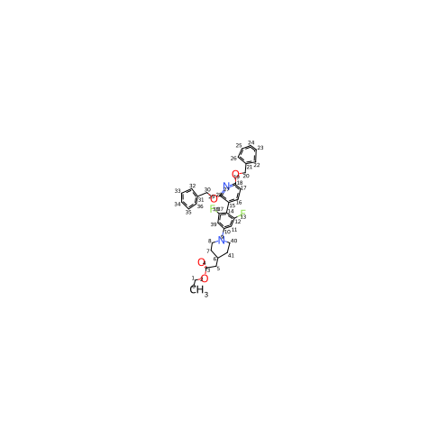 CCOC(=O)CC1CCN(c2cc(F)c(-c3ccc(OCc4ccccc4)nc3OCc3ccccc3)c(F)c2)CC1